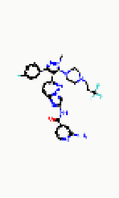 Cn1nc(-c2ccc(F)cc2)c(-c2ccc3nc(NC(=O)c4ccnc(N)c4)cn3n2)c1N1CCN(CCC(F)(F)F)CC1